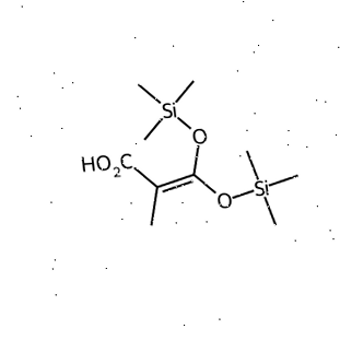 CC(C(=O)O)=C(O[Si](C)(C)C)O[Si](C)(C)C